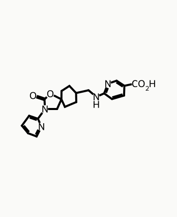 O=C(O)c1ccc(NCC2CCC3(CC2)CN(c2ccccn2)C(=O)O3)nc1